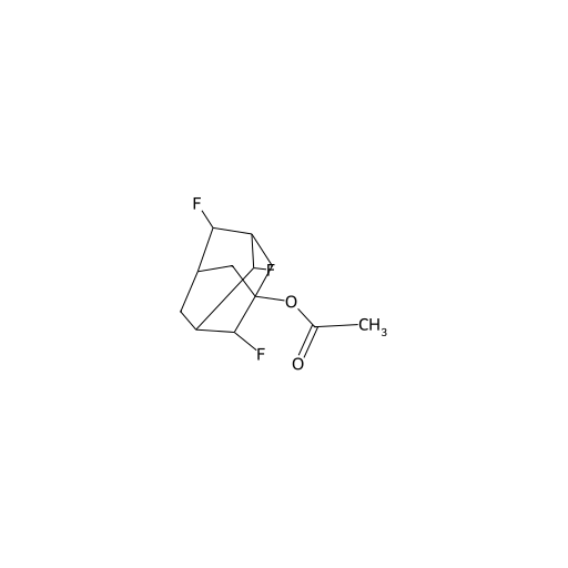 CC(=O)OC12CC3CC(C(F)C(C1)C3F)C2F